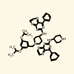 CC(C)Oc1cc(CN2CCC(Nc3nc(-c4ccccc4)c4nccnc4n3)CC2)cc(OC(C)C)c1.c1ccc(-c2nc(NC3CCNCC3)nc3nccnc23)cc1